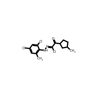 Cc1cc(Cl)cc(Cl)c1NN=C(Cl)C(=O)C1CCC(C)C1